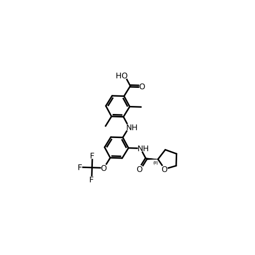 Cc1ccc(C(=O)O)c(C)c1Nc1ccc(OC(F)(F)F)cc1NC(=O)[C@H]1CCCO1